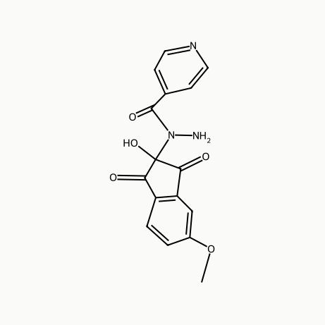 COc1ccc2c(c1)C(=O)C(O)(N(N)C(=O)c1ccncc1)C2=O